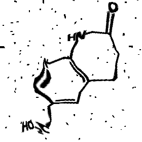 O=C1CCc2cc(C(=O)O)cnc2N1